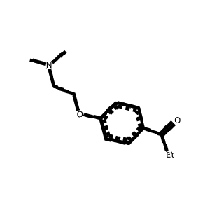 CCC(=O)c1ccc(OCCN(C)C)cc1